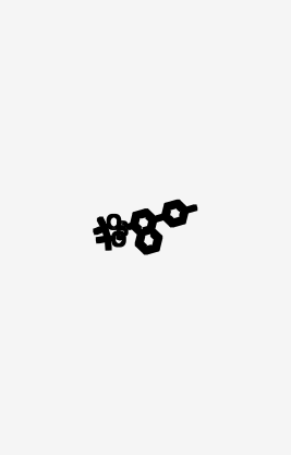 Cc1ccc(-c2ccc(B3OC(C)(C)C(C)(C)O3)c3ccccc23)cc1